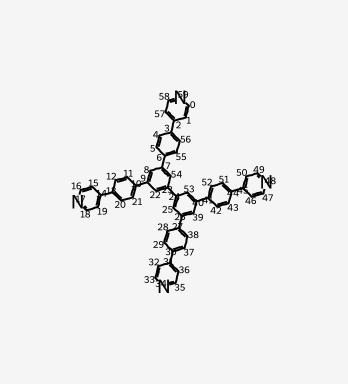 c1cc(-c2ccc(-c3cc(-c4ccc(-c5ccncc5)cc4)cc(-c4cc(-c5ccc(-c6ccncc6)cc5)cc(-c5ccc(-c6ccncc6)cc5)c4)c3)cc2)ccn1